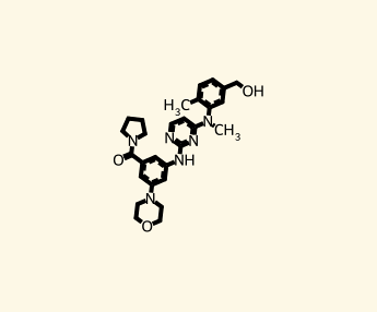 Cc1ccc(CO)cc1N(C)c1ccnc(Nc2cc(C(=O)N3CCCC3)cc(N3CCOCC3)c2)n1